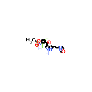 CCCS(=O)(=O)Nc1ccc(F)c(C(=O)c2c[nH]c3ncc(CCCN4CCOCC4)cc23)c1F